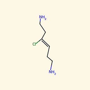 NCCC=C(Cl)CCN